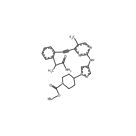 CC(C(N)=O)c1ccccc1C#Cc1nc(Nc2cnn(C3CCN(C(=O)OC(C)(C)C)CC3)c2)ncc1C(F)(F)F